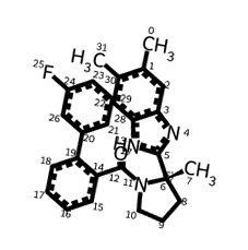 Cc1cc2nc([C@]3(C)CCCN3C(=O)c3ccccc3-c3cccc(F)c3)[nH]c2cc1C